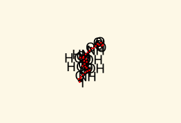 O=C(O)CN(CCN(CC(=O)O)CC(=O)NCCCCNC(=O)CCCCC(=O)ON1C(=O)CCC1=O)CCN(CC(=O)O)CC(=O)N(CCCCNC(=O)c1cccc(I)c1)CC(=O)O